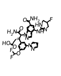 NC(=O)c1cc(NC2=NCC(F)CN2)c2cnn(C(C(N)=O)[C@@H](CC(=O)O)c3cc(OC(F)F)cc(-n4cccn4)c3)c2c1